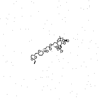 C=C[C@H]1OCC[C@@H](C[C@@H]2CCC[C@@H](C[C@@H](O)CC(=O)O[C@@H](CO)CC3C/C(=C\C(=O)OC)[C@H](OC=O)[C@](O)(C(C)(C)C)O3)O2)O1